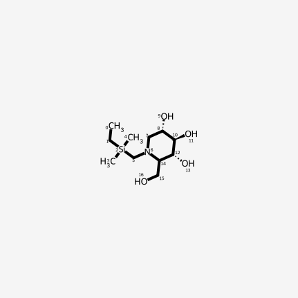 CC[Si](C)(C)CN1C[C@H](O)[C@@H](O)[C@H](O)C1CO